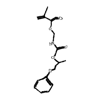 C=C(C)C(=O)OCNC(=O)OC(C)COc1ccccc1